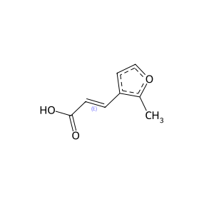 Cc1occc1/C=C/C(=O)O